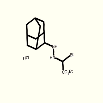 CCOC(=O)C(CC)NNC1C2CC3CC(C2)CC1C3.Cl